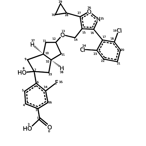 O=C(O)c1ccc(C2(O)C[C@H]3CC(OCc4c(-c5c(Cl)cccc5Cl)noc4C4CC4)C[C@H]3C2)c(F)c1